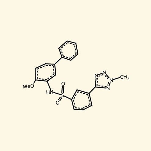 COc1ccc(-c2ccccc2)cc1NS(=O)(=O)c1cccc(-c2nnn(C)n2)c1